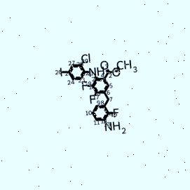 COC(=O)c1cc(Cc2cccc(N)c2F)c(F)c(F)c1Nc1ccc(I)cc1Cl